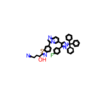 N#CCC[C@H](O)c1nc2ccc(-c3cnc4ccc(-c5cn(C(c6ccccc6)(c6ccccc6)C6C=CC=CC6)nc5-c5ccc(F)cc5)cn34)cc2s1